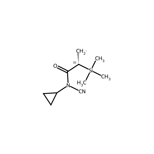 [CH2][C@@H](C(=O)N(C#N)C1CC1)[Si](C)(C)C